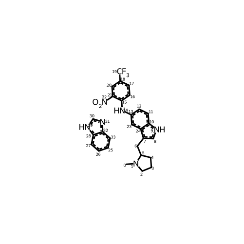 CN1CCCC1Cc1c[nH]c2ccc(Nc3ccc(C(F)(F)F)cc3[N+](=O)[O-])cc12.c1ccc2[nH]cnc2c1